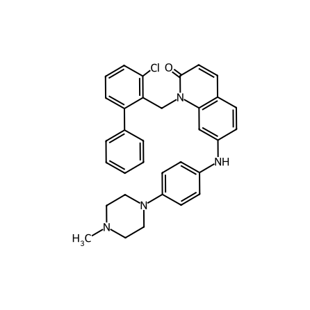 CN1CCN(c2ccc(Nc3ccc4ccc(=O)n(Cc5c(Cl)cccc5-c5ccccc5)c4c3)cc2)CC1